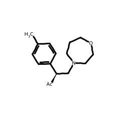 CC(=O)[C@H](CN1CCCOCC1)c1ccc(C)cc1